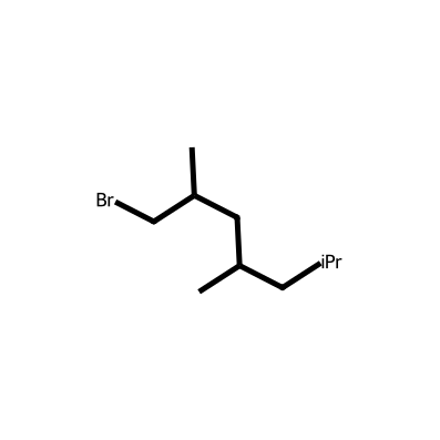 CC(C)CC(C)CC(C)CBr